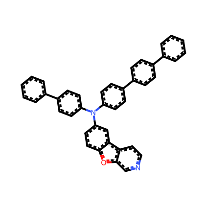 c1ccc(-c2ccc(-c3ccc(N(c4ccc(-c5ccccc5)cc4)c4ccc5oc6cnccc6c5c4)cc3)cc2)cc1